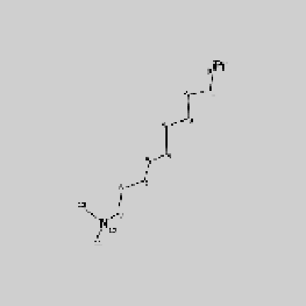 CC(C)CCCCCCCCCN(C)C